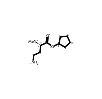 CN[C@@H](CCN)C(=O)OC1CCCC1